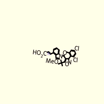 COCC(C)(C)c1onc(-c2c(C)cc(Cl)cc2Cl)c1C(=O)n1ccc2c(/C=C/C(=O)O)cccc21